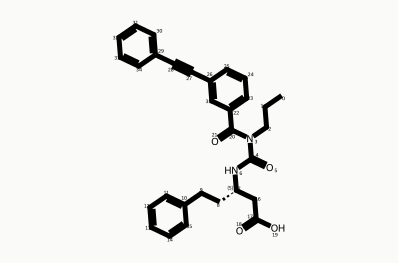 CCCN(C(=O)N[C@@H](CCc1ccccc1)CC(=O)O)C(=O)c1cccc(C#Cc2ccccc2)c1